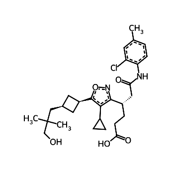 Cc1ccc(NC(=O)C[C@H](CCC(=O)O)c2noc([C@H]3C[C@@H](CC(C)(C)CO)C3)c2C2CC2)c(Cl)c1